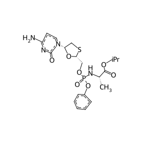 CC(C)OC(=O)[C@H](C)NP(=O)(OC[C@@H]1O[C@H](n2ccc(N)nc2=O)CS1)Oc1ccccc1